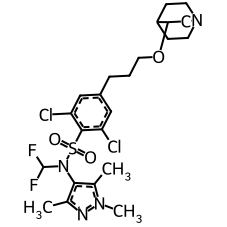 Cc1nn(C)c(C)c1N(C(F)F)S(=O)(=O)c1c(Cl)cc(CCCOC2CN3CCC2CC3)cc1Cl